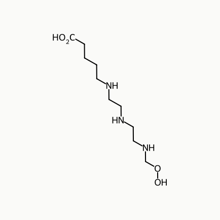 O=C(O)CCCCNCCNCCNCOO